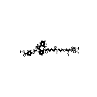 CP(=O)(O)OCC(O)COCCCNC(=O)CCCCC(=O)N1Cc2ccccc2-c2nnn(CCOc3ccc(C(=O)O)cc3)c2-c2ccccc21